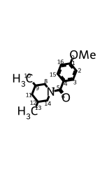 COc1ccc(C(=O)N2CC(C)CC(C)C2)cc1